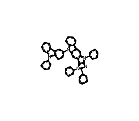 c1ccc(-c2nc3c(c4cc5c(cc4n3-c3ccccc3)c3ccccc3n5-c3ccc4c(c3)c3ccccc3n4-c3ccccc3)n2-c2ccccc2)cc1